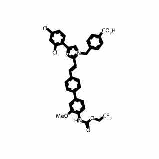 COc1cc(-c2ccc(C=Cc3nc(-c4ccc(Cl)cc4Cl)cn3Cc3ccc(C(=O)O)cc3)cc2)ccc1NC(=O)OCC(F)(F)F